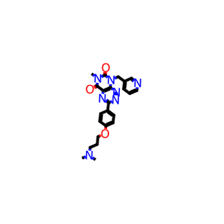 CN(C)CCCOc1ccc(-c2nnc3c(n2)c(=O)n(C)c(=O)n3Cc2cccnc2)cc1